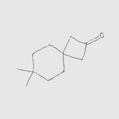 CC1(C)CCC2(CC1)CC(=O)C2